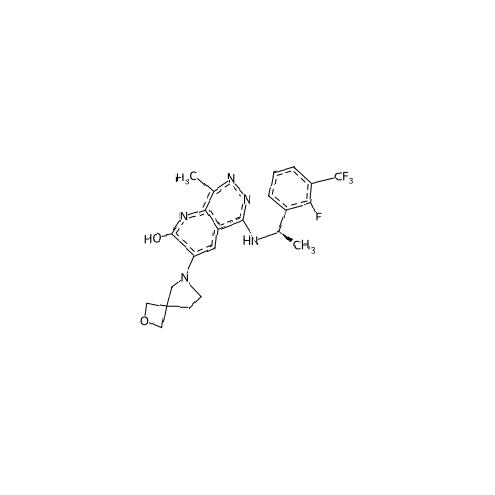 Cc1nnc(N[C@H](C)c2cccc(C(F)(F)F)c2F)c2cc(N3CCC4(COC4)C3)c(O)nc12